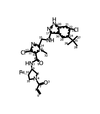 C=CC(=O)N1C[C@H](NC(=O)c2c(Cl)nc(CNc3n[nH]c4cc(Cl)c(C(C)(C)C)cc34)n2C)[C@@H](F)C1